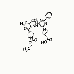 CCOC(=O)N1CCN(C(=O)[C@@H](NC(=O)c2cc(N3CC4C(C3)C4C(=O)O)nc(-c3ccccc3)n2)C(C)C)CC1